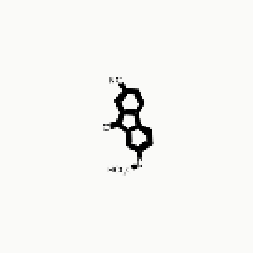 N#Cc1ccc2c(c1)C(=O)c1cc(OC(=O)O)ccc1-2